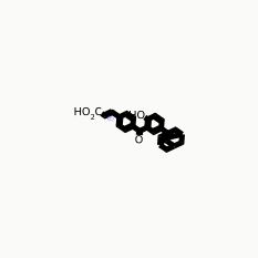 O=C(O)/C=C/c1ccc(C(=O)c2cc(C34CC5CC(CC(C5)C3)C4)ccc2O)cc1